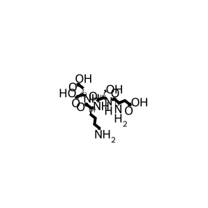 NCCCC[C@H](NC(=O)[C@H](CO)NC(=O)[C@@H](N)CC(=O)O)C(=O)N[C@@H](CC(=O)O)C(=O)O